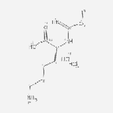 COC(=N)N[C@@H](CCCCN)C(=O)O.Cl.Cl